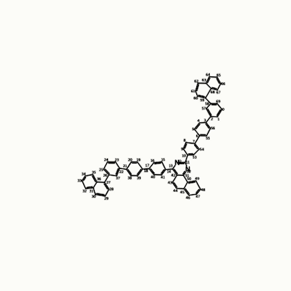 c1cc(-c2ccc(-c3ccc(-c4nc(-c5ccc(-c6ccc(-c7cccc(-c8cccc9ccccc89)c7)cc6)cc5)c5ccc6ccccc6c5n4)cc3)cc2)cc(-c2cccc3ccccc23)c1